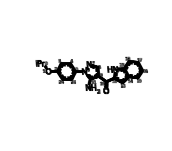 CC(C)Oc1ccc(-n2ncc(C(=O)c3cc4ccccc4[nH]3)c2N)cc1